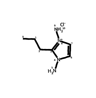 CCCc1n(N)cc[n+]1N.[Cl-]